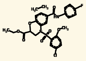 CC.CCOC(=O)C1CN(S(=O)(=O)c2cc(Cl)ccc2OC)c2cc(C(=O)Nc3ccc(F)cc3)ccc2O1